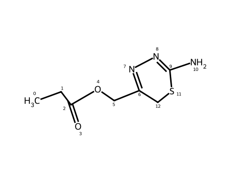 CCC(=O)OCC1=NN=C(N)SC1